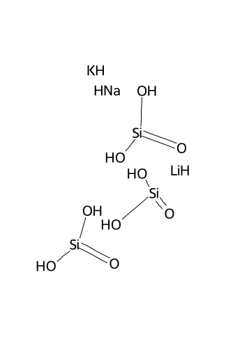 O=[Si](O)O.O=[Si](O)O.O=[Si](O)O.[KH].[LiH].[NaH]